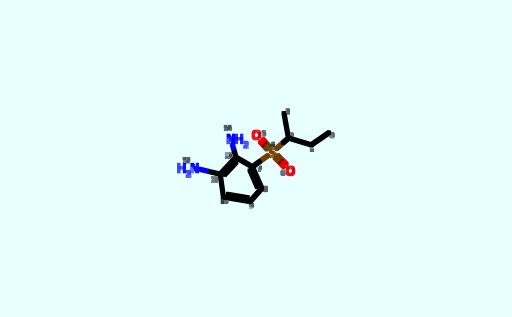 CCC(C)S(=O)(=O)c1cccc(N)c1N